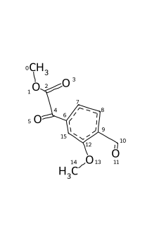 COC(=O)C(=O)c1ccc(C=O)c(OC)c1